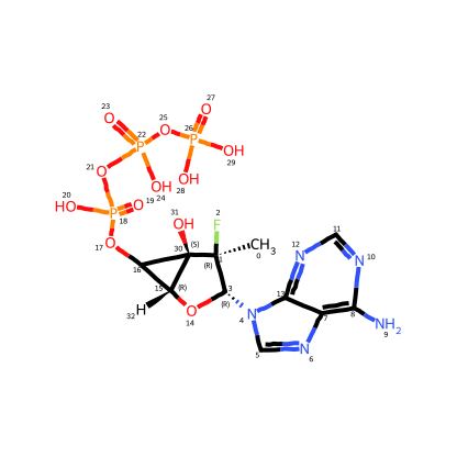 C[C@]1(F)[C@H](n2cnc3c(N)ncnc32)O[C@@H]2C(OP(=O)(O)OP(=O)(O)OP(=O)(O)O)[C@@]21O